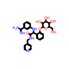 N=C(N)c1cccc(NC(C(=O)NCc2ccncc2)c2ccccc2OC2OC(CO)C(O)C(O)C2O)c1